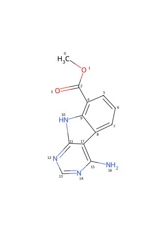 COC(=O)c1cccc2c1[nH]c1ncnc(N)c12